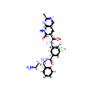 Cc1ncc2cc(C(=O)Nc3cc(C(=O)N[C@H](CCN)c4ccccc4)ccc3Cl)c(=O)[nH]c2n1.Cl